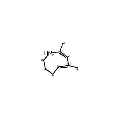 C/C1=C/C(C)=C/CCCN1